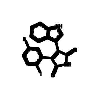 O=C1NC(=O)C(c2c[nH]c3ccccc23)=C1c1cc(F)ccc1I